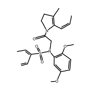 C=C/C(=C\C)S(=O)(=O)N(CC(=O)N1CCC(C)=C1/C=C\C)c1cc(OC)ccc1OC